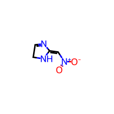 O=[N+]([O-])C=C1N=CCN1